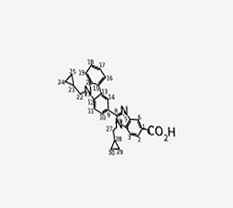 O=C(O)c1ccc2c(c1)nc(-c1ccc3c(c1)c1ccccc1n3CC1CC1)n2CC1CC1